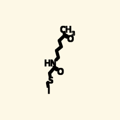 CC(=O)CCCCNC(=O)CSCI